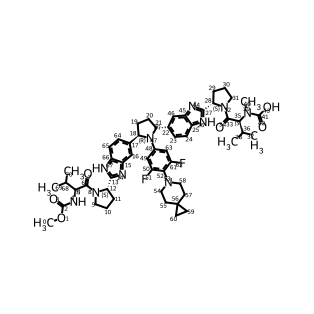 COC(=O)N[C@H](C(=O)N1CCC[C@H]1c1nc2cc([C@H]3CC[C@H](c4ccc5[nH]c([C@@H]6CCCN6C(=O)[C@H](C(C)C)N(C)C(=O)O)nc5c4)N3c3cc(F)c(N4CCC5(CC4)CC5)c(F)c3)ccc2[nH]1)C(C)C